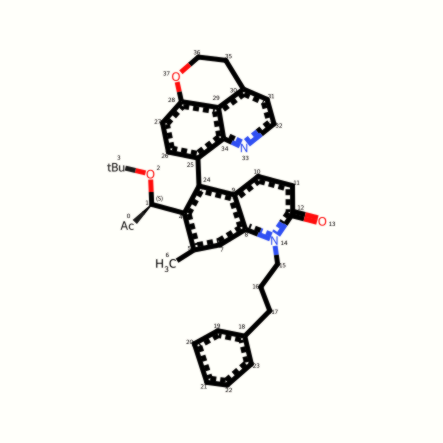 CC(=O)[C@@H](OC(C)(C)C)c1c(C)cc2c(ccc(=O)n2CCCc2ccccc2)c1-c1ccc2c3c(ccnc13)CCO2